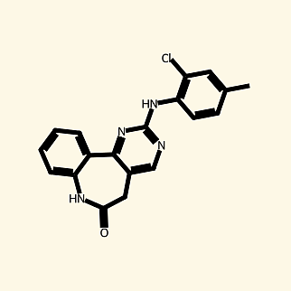 Cc1ccc(Nc2ncc3c(n2)-c2ccccc2NC(=O)C3)c(Cl)c1